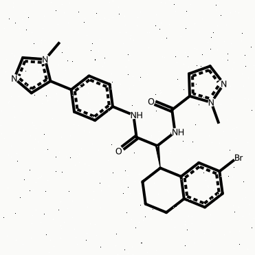 Cn1cncc1-c1ccc(NC(=O)C(NC(=O)c2ccnn2C)[C@@H]2CCCc3ccc(Br)cc32)cc1